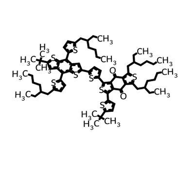 CCCCC(CC)Cc1ccc(-c2c3cc(C(C)(C)C)sc3c(-c3ccc(CC(CC)CCCC)s3)c3cc(-c4ccc(-c5sc(-c6ccc(C(C)(C)C)s6)c6c5C(=O)c5c(CC(CC)CCCC)sc(CC(CC)CCCC)c5C6=O)s4)sc23)s1